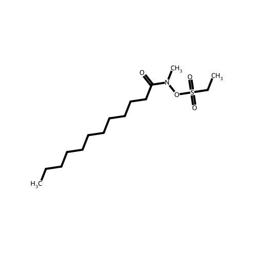 CCCCCCCCCCCC(=O)N(C)OS(=O)(=O)CC